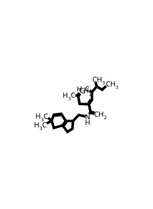 C=C(C)C/C(=C\C(C)C(C)CC)C(=C)NCC1CCC2=C1C=CC(C)(C)C2